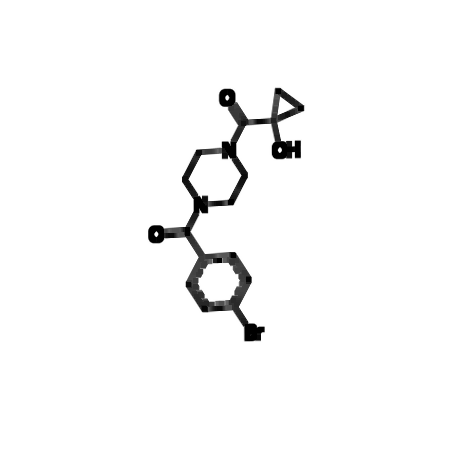 O=C(c1ccc(Br)cc1)N1CCN(C(=O)C2(O)CC2)CC1